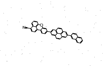 N#Cc1ccc2c3c(cccc13)Oc1cc(-c3cc4ccc5cc(-c6ccc7ccccc7c6)cc6ccc(c3)c4c56)ccc1-2